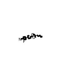 C=CCCC[C@H]1CO[C@H]([C@H]2CC[C@H](c3ccc(C#N)c(F)c3)CC2)OC1